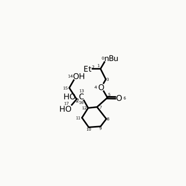 CCCCC(CC)COC(=O)C1CCCCC1C(=O)O.OCCO